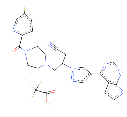 N#CCC(CN1CCN(C(=O)c2ccc(F)cn2)CC1)n1cc(-c2ncnc3[nH]ccc23)cn1.O=C(O)C(F)(F)F